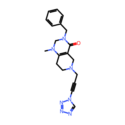 CN1CN(Cc2ccccc2)C(=O)C2=C1CCN(CC#Cn1cnnn1)C2